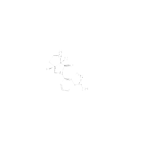 Bn1ncc2c(N3C[C@@H]4CCN[C@@H]4C3=O)cccc21